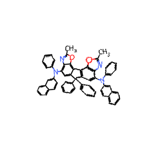 Cc1nc2c(N(c3ccccc3)c3ccc4ccccc4c3)cc3c(c2o1)-c1c(cc(N(c2ccccc2)c2ccc4ccccc4c2)c2nc(C)oc12)C3(c1ccccc1)c1ccccc1